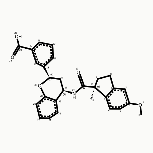 COc1ccc2c(c1)CC[C@]2(C)C(=O)N[C@@H]1C[C@H](c2cccc(C(=O)O)c2)Oc2ccccc21